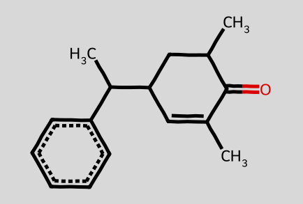 CC1=CC(C(C)c2ccccc2)CC(C)C1=O